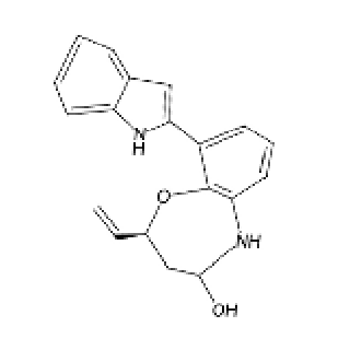 C=C[C@@H]1CC(O)Nc2cccc(-c3cc4ccccc4[nH]3)c2O1